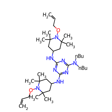 C=CCON1C(C)(C)CC(Nc2nc(NC3CC(C)(C)N(OCC=C)C(C)(C)C3)nc(N(CCCC)CCCC)n2)CC1(C)C